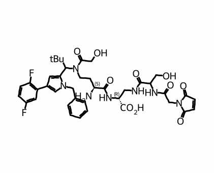 CC(C)(C)C(c1cc(-c2cc(F)ccc2F)cn1Cc1ccccc1)N(CC[C@H](N)C(=O)N[C@H](CNC(=O)C(CO)NC(=O)CN1C(=O)C=CC1=O)C(=O)O)C(=O)CO